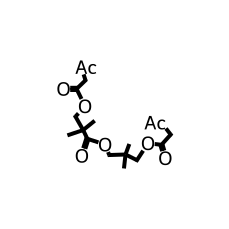 CC(=O)CC(=O)OCC(C)(C)COC(=O)C(C)(C)COC(=O)CC(C)=O